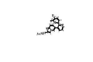 CC(=O)Nc1cn2cc(-c3cccnc3-c3ccc(F)c(C)n3)ccc2n1